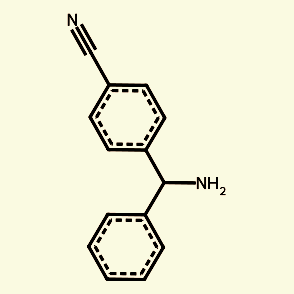 N#Cc1ccc(C(N)c2ccccc2)cc1